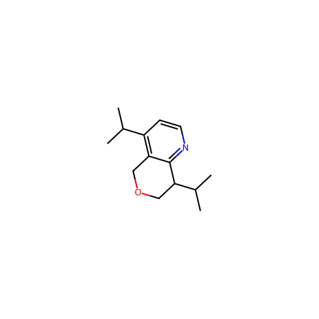 CC(C)c1ccnc2c1COCC2C(C)C